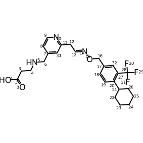 O=C(O)CCNCc1ccnc(CC=NOCc2ccc(C3CCCCC3)c(C(F)(F)F)c2)c1